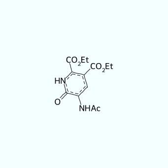 CCOC(=O)c1cc(NC(C)=O)c(=O)[nH]c1C(=O)OCC